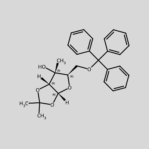 CC1(C)O[C@H]2O[C@H](COC(c3ccccc3)(c3ccccc3)c3ccccc3)[C@@](C)(O)[C@H]2O1